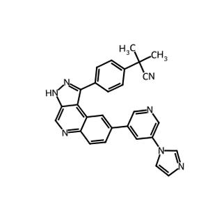 CC(C)(C#N)c1ccc(-c2n[nH]c3cnc4ccc(-c5cncc(-n6ccnc6)c5)cc4c23)cc1